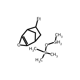 CCC1CC2CC1C1=C2O1.C[SiH2]O[Si](C)(C)C